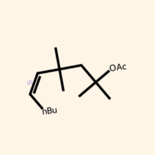 CCCC/C=C\C(C)(C)CC(C)(C)OC(C)=O